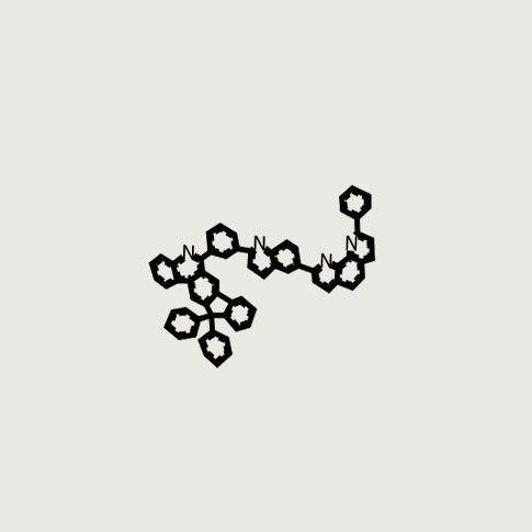 c1ccc(-c2ccc3ccc4ccc(-c5ccc6nc(-c7cccc(-c8nc9ccccc9c9cc%10c(cc89)-c8ccccc8C%10(c8ccccc8)c8ccccc8)c7)ccc6c5)nc4c3n2)cc1